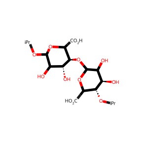 CC(C)OC1OC(C(=O)O)[C@@H](OC2OC(C(=O)O)[C@@H](OC(C)C)[C@H](O)C2O)[C@H](O)C1O